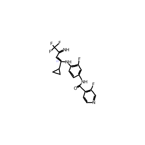 N=C(/C=C(\Nc1ccc(NC(=O)c2ccncc2F)cc1F)C1CC1)C(F)(F)F